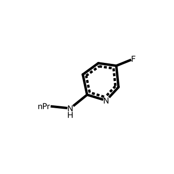 CCCNc1ccc(F)cn1